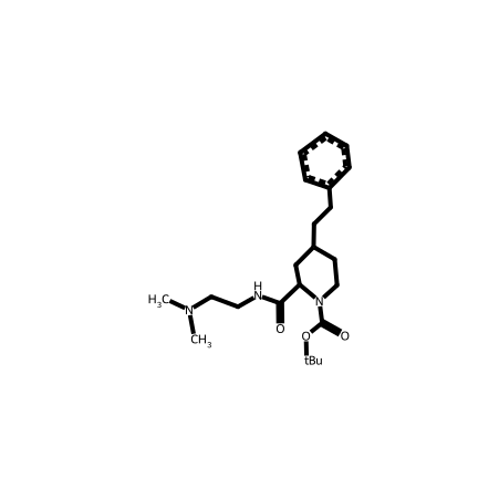 CN(C)CCNC(=O)C1CC(CCc2ccccc2)CCN1C(=O)OC(C)(C)C